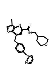 Cc1csc2c(Cc3ccc(-n4cccn4)cc3)cc(C(=O)NCC3CCOCC3)nc12